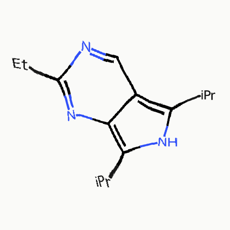 CCc1ncc2c(C(C)C)[nH]c(C(C)C)c2n1